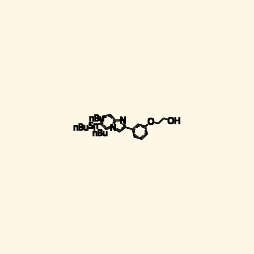 CCC[CH2][Sn]([CH2]CCC)([CH2]CCC)[c]1ccc2nc(-c3cccc(OCCO)c3)cn2c1